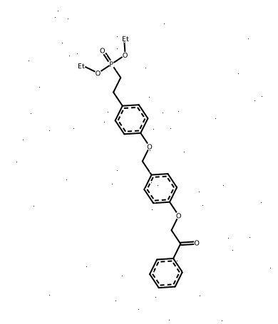 CCOP(=O)(CCc1ccc(OCc2ccc(OCC(=O)c3ccccc3)cc2)cc1)OCC